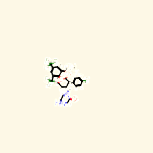 C[C@@H](O[C@H]1OCC[C@@H](CN2CCNCC2=O)[C@@H]1c1ccc(F)cc1)c1cc(C(F)(F)F)cc(C(F)(F)F)c1